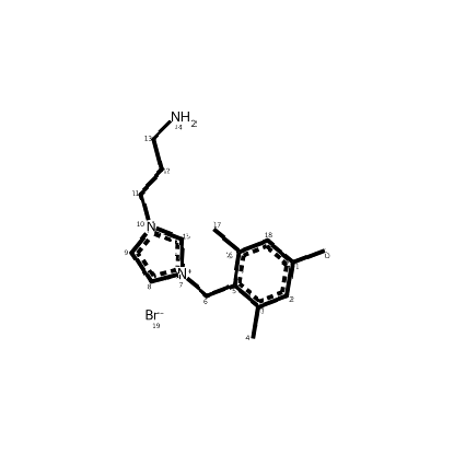 Cc1cc(C)c(C[n+]2ccn(CCCN)c2)c(C)c1.[Br-]